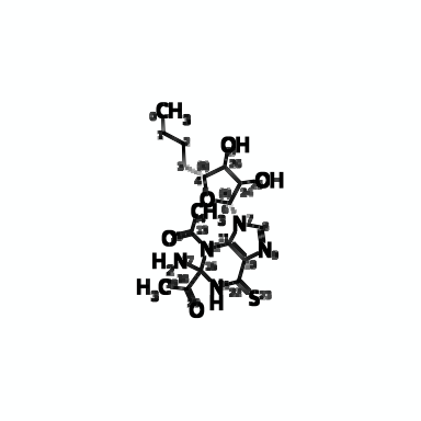 CCCC[C@H]1O[C@@H](n2cnc3c2N(C(C)=O)C(N)(C(C)=O)NC3=S)C(O)C1O